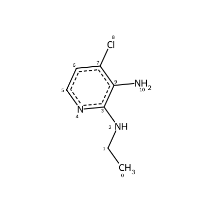 CCNc1nccc(Cl)c1N